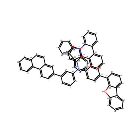 c1cc(-c2ccc3c(ccc4ccccc43)c2)cc(N(c2ccc(-c3cccc4c3oc3ccccc34)cc2)c2ccccc2-c2ccccc2-c2ccccc2-n2c3ccccc3c3ccccc32)c1